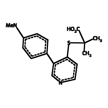 CNc1ccc(-c2cnccc2SC(C)(C)C(=O)O)cc1